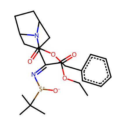 CCOC(=O)/C(=N\[S+]([O-])C(C)(C)C)C1CC2CCC(C1)N2C(=O)OCc1ccccc1